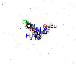 CC(C)(C)OC(=O)N1CCC[C@@H](n2nc(C(=O)Nc3nc4cc(Cl)ccc4o3)c3c(N)nccc32)C1